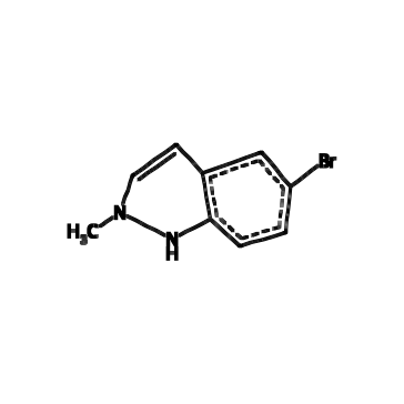 CN1C=Cc2cc(Br)ccc2N1